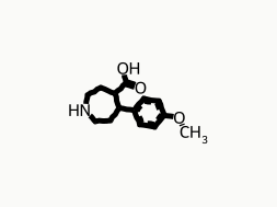 COc1ccc(C2CCNCCC2C(=O)O)cc1